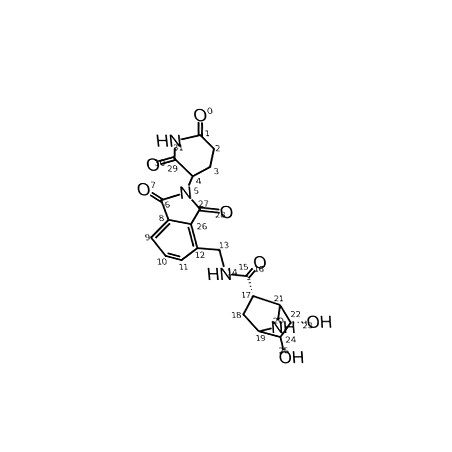 O=C1CCC(N2C(=O)c3cccc(CNC(=O)[C@H]4CC5NC4[C@H](O)C5O)c3C2=O)C(=O)N1